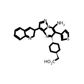 Nc1c(-c2ccsc2)c([C@H]2CC[C@H](CC(=O)O)CC2)nc2c(C3C=c4ccccc4=NC3)cnn12